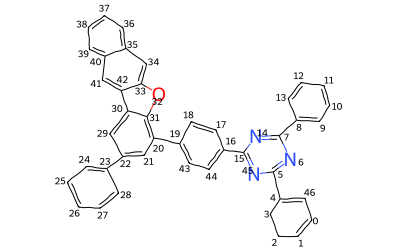 C1=CCCC(c2nc(-c3ccccc3)nc(-c3ccc(-c4cc(-c5ccccc5)cc5c4oc4cc6ccccc6cc45)cc3)n2)=C1